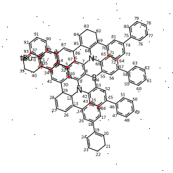 CC(C)(C)c1ccc(-c2cc3c4c(c2)N(C2C(c5cccc(C6=CCCC=C6)c5)=CC=CC2c2cccc(C5=CC=CCC5)c2)c2ccc(-c5ccccc5)cc2B4c2cc(-c4ccccc4)ccc2N3C2=C(c3cccc(-c4ccccc4)c3)CCC=C2C2=CC(c3ccccc3)=CCC2)cc1